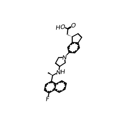 C[C@@H](NC1CCN(c2ccc3c(c2)[C@H](CC(=O)O)CC3)C1)c1ccc(F)c2ccccc12